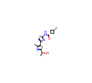 Cc1nc(C(C)O)sc1-c1csc(NC(=O)[C@H]2C[C@H](F)C2)n1